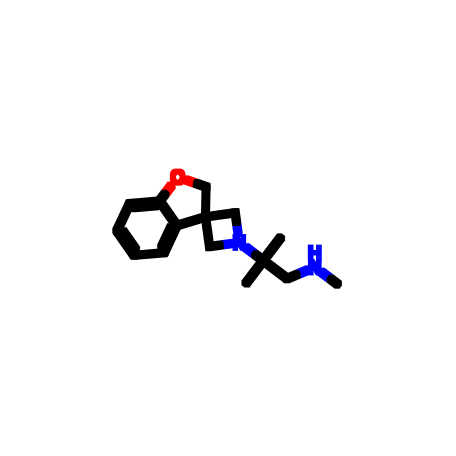 CNCC(C)(C)N1CC2(COc3ccccc32)C1